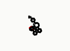 Brc1ccc(C2=C/CCC3=C(/C(c4ccccc4)=N\2)C2(c4ccccc43)c3ccccc3-c3ccccc32)cc1